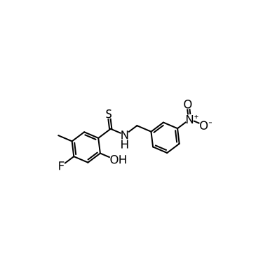 Cc1cc(C(=S)NCc2cccc([N+](=O)[O-])c2)c(O)cc1F